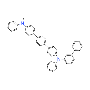 CN(c1ccccc1)c1ccc(-c2ccc(-c3ccc4c(c3)c3ccccc3n4-c3cccc(-c4ccccc4)c3)cc2)cc1